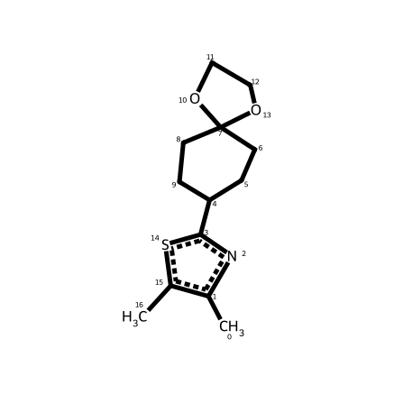 Cc1nc(C2CCC3(CC2)OCCO3)sc1C